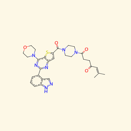 CC(C)=CC(=O)CCC(=O)N1CCN(C(=O)c2cc3nc(-c4cccc5[nH]ncc45)nc(N4CCOCC4)c3s2)CC1